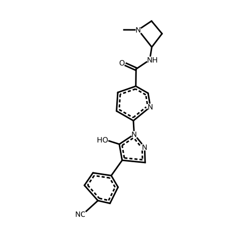 CN1CCC1NC(=O)c1ccc(-n2ncc(-c3ccc(C#N)cc3)c2O)nc1